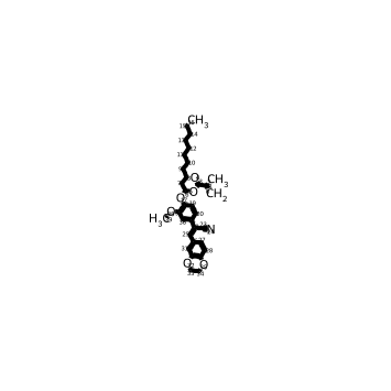 C=C(C)C(=O)OC(CCCCCCCCCC)Oc1ccc(/C(C#N)=C/c2ccc3c(c2)OCCO3)cc1OC